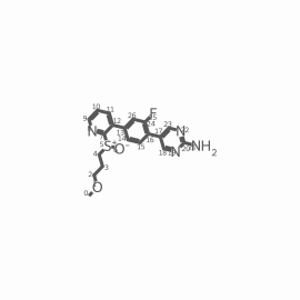 COCCC[S+]([O-])c1ncccc1-c1ccc(-c2cnc(N)nc2)c(F)c1